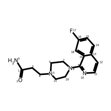 NC(=O)CCN1CCN(c2nccc3ccc(F)cc23)CC1